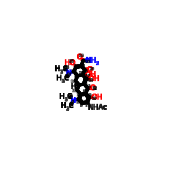 CC(=O)Nc1cc(N(C)C)c2c(c1O)C(=O)C1=C(O)C3(O)C(=O)C(C(N)=O)=C(O)C(N(C)C)C3C[C@@H]1C2